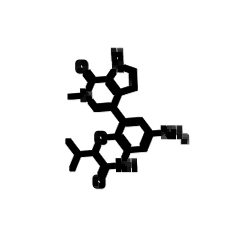 CC(C)C1Oc2c(cc(N)cc2-c2cn(C)c(=O)c3[nH]ccc23)NC1=O